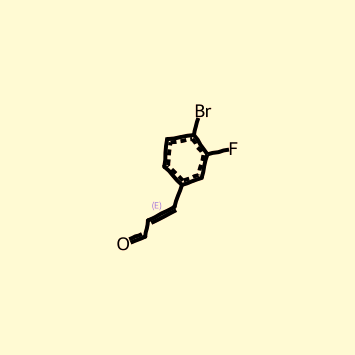 O=C/C=C/c1ccc(Br)c(F)c1